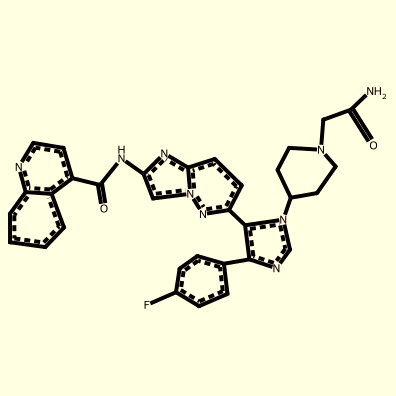 NC(=O)CN1CCC(n2cnc(-c3ccc(F)cc3)c2-c2ccc3nc(NC(=O)c4ccnc5ccccc45)cn3n2)CC1